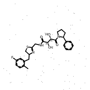 Cc1ccc(F)cc1CC1CSC(CNC(=O)[C@H](O)[C@@H](O)C(=O)N2CCCC2c2ccccc2)=N1